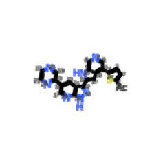 CC(=O)c1ccc(-c2cncc3[nH]c(-c4n[nH]c5ncc(-c6cnccn6)cc45)cc23)s1